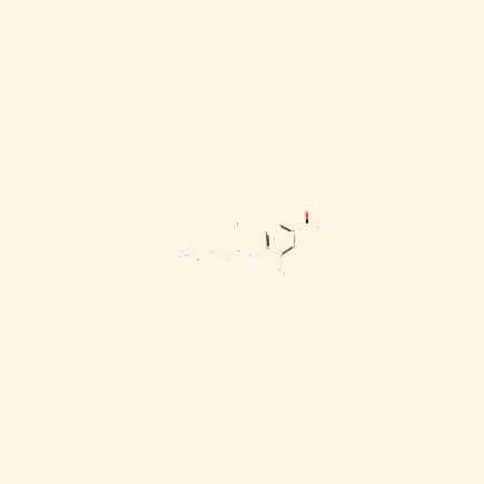 COc1cc(C(N)=O)cc([N+](=O)[O-])c1NCCCCNC(=O)O